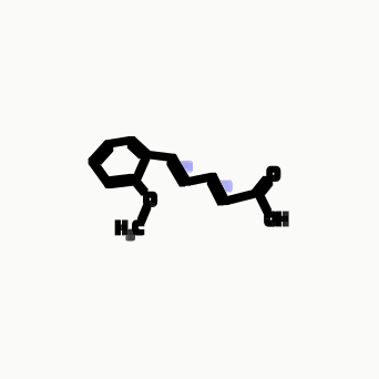 COc1ccccc1/C=C/C=C/C(=O)O